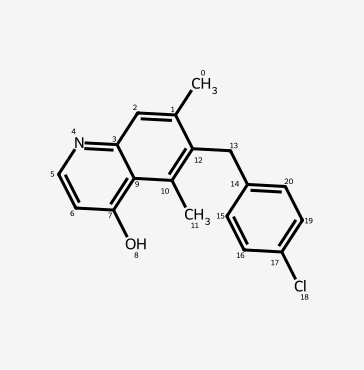 Cc1cc2nccc(O)c2c(C)c1Cc1ccc(Cl)cc1